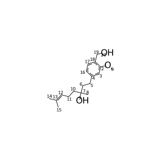 COc1cc(CCC(C)(O)CCC=C(C)C)ccc1CO